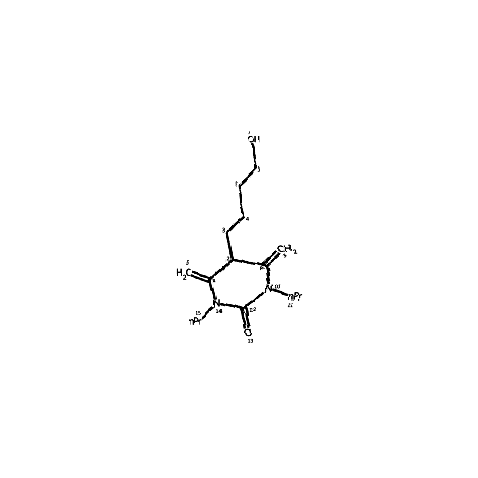 C=C1C(CCCCO)C(=C)N(CCC)C(=O)N1CCC